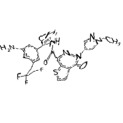 C[C@@H](NC(=O)c1nn(-c2cnn(C)c2)c(=O)c2ccsc12)c1cc(N)cc(C(F)(F)F)c1